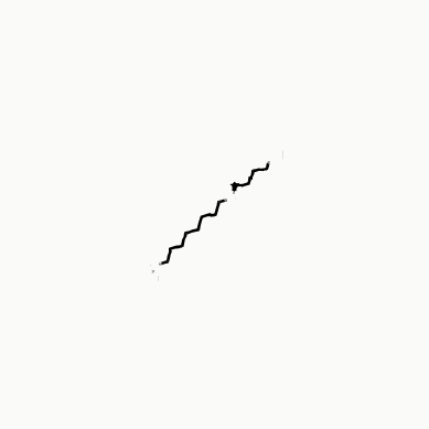 CCOCCCCCCCCOC(=O)CCCS